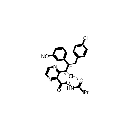 CC(C)C(=O)NOC(=O)c1nccnc1[C@@H](C)[C@H](Cc1ccc(Cl)cc1)c1cccc(C#N)c1